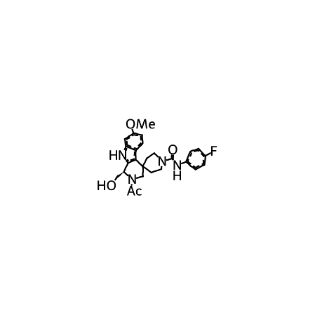 COc1ccc2c3c([nH]c2c1)[C@H](CO)N(C(C)=O)CC31CCN(C(=O)Nc2ccc(F)cc2)CC1